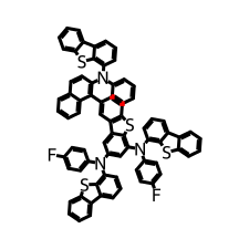 Fc1ccc(N(c2cc(N(c3ccc(F)cc3)c3cccc4c3sc3ccccc34)c3sc4ccc(-c5c(N(c6ccccc6)c6cccc7c6sc6ccccc67)ccc6ccccc56)cc4c3c2)c2cccc3c2sc2ccccc23)cc1